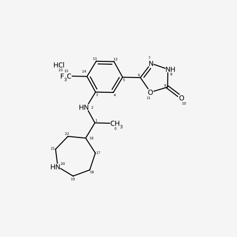 CC(Nc1cc(-c2n[nH]c(=O)o2)ccc1C(F)(F)F)C1CCCNCC1.Cl